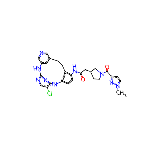 Cn1ccc(C(=O)N2CC[C@@H](CC(=O)Nc3ccc4cc3CCc3cncc(c3)Nc3ncc(Cl)c(n3)N4)C2)n1